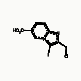 O=C(O)c1ccc2nc(CCl)c(I)n2c1